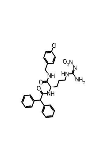 N/C(=N/[N+](=O)[O-])NCCC[C@@H](NC(=O)C(c1ccccc1)c1ccccc1)C(=O)NCc1ccc(Cl)cc1